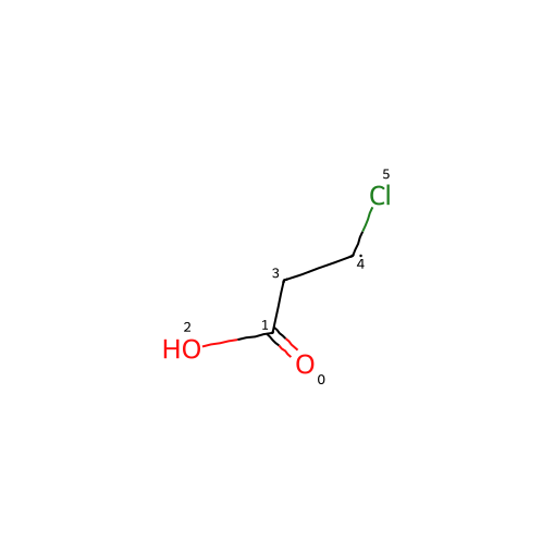 O=C(O)C[CH]Cl